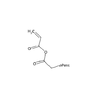 C=CC(=O)OC(=O)CCCCCC